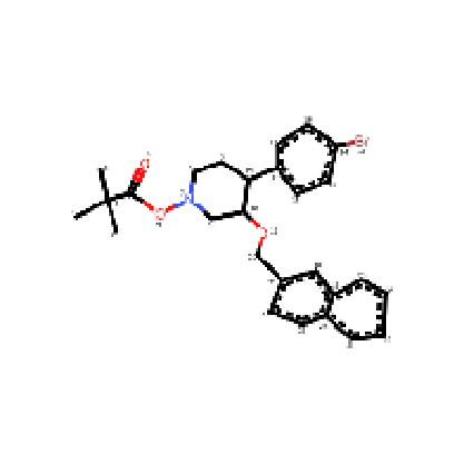 CC(C)(C)C(=O)ON1CCC(c2ccc(Br)cc2)C(OCc2ccc3ccccc3c2)C1